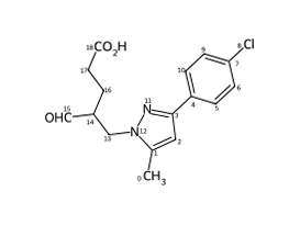 Cc1cc(-c2ccc(Cl)cc2)nn1CC(C=O)CCC(=O)O